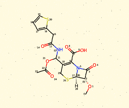 CO[C@H]1C(=O)N2C(C(=O)O)=C(C(NC(=O)Cc3cccs3)OC(C)=O)CS[C@H]12